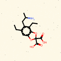 CCc1cc2c(c(CC)c1CC(C)N)OC(C(=O)O)(C(=O)O)O2